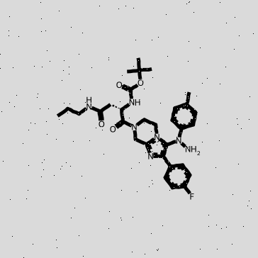 CCCNC(=O)C[C@H](NC(=O)OC(C)(C)C)C(=O)N1CCn2c(nc(-c3ccc(F)cc3)c2N(N)c2ccc(C)cc2)C1